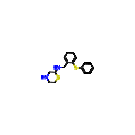 c1ccc(Sc2ccccc2CNC2CNCCS2)cc1